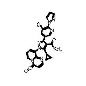 NC(=O)c1c(-c2cnc(-n3cccn3)c(Cl)c2)nn(C2=CC=CN3C(=C=O)C=CN=C23)c1C1CC1